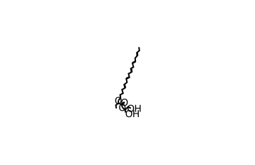 CCC=CCC=CCC=CCC=CCC=CCCCCOC(CC)C(=O)OC(CO)CO